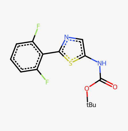 CC(C)(C)OC(=O)Nc1cnc(-c2c(F)cccc2F)s1